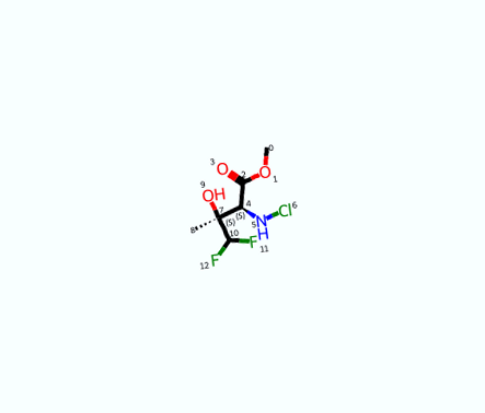 COC(=O)[C@@H](NCl)[C@](C)(O)C(F)F